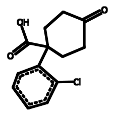 O=C1CCC(C(=O)O)(c2ccccc2Cl)CC1